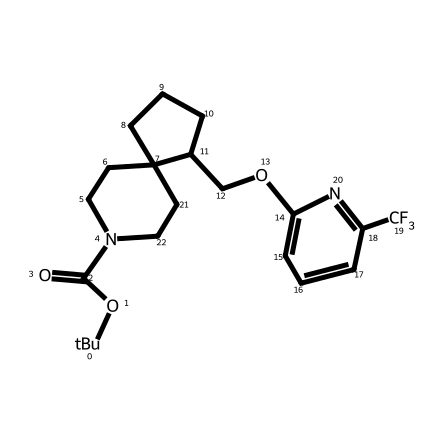 CC(C)(C)OC(=O)N1CCC2(CCCC2COc2cccc(C(F)(F)F)n2)CC1